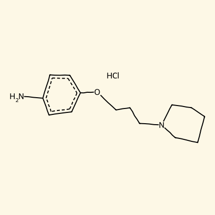 Cl.Nc1ccc(OCCCN2CCCCC2)cc1